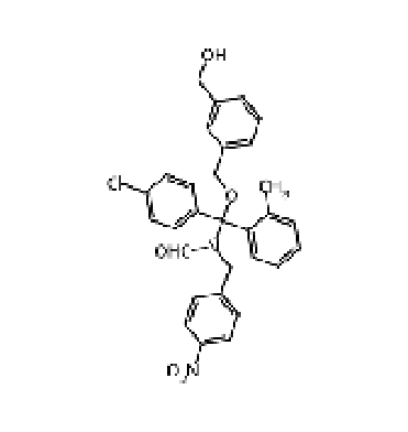 Cc1ccccc1C(OCc1cccc(CO)c1)(c1ccc(Cl)cc1)N(C=O)Cc1ccc([N+](=O)[O-])cc1